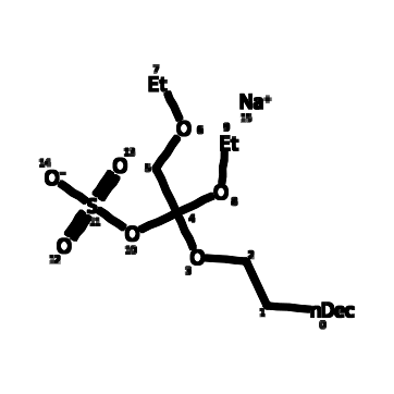 CCCCCCCCCCCCOC(COCC)(OCC)OS(=O)(=O)[O-].[Na+]